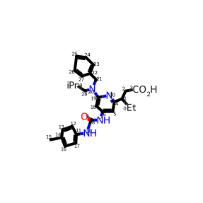 CCC(CC(=O)O)c1cc(NC(=O)Nc2ccc(C)cc2)cc(N(Cc2ccccc2)CC(C)C)n1